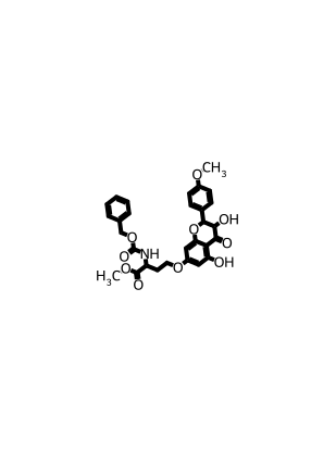 COC(=O)C(CCOc1cc(O)c2c(c1)OC(c1ccc(OC)cc1)C(O)C2=O)NC(=O)OCc1ccccc1